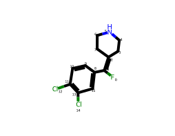 FC(=C1CCNCC1)c1ccc(Cl)c(Cl)c1